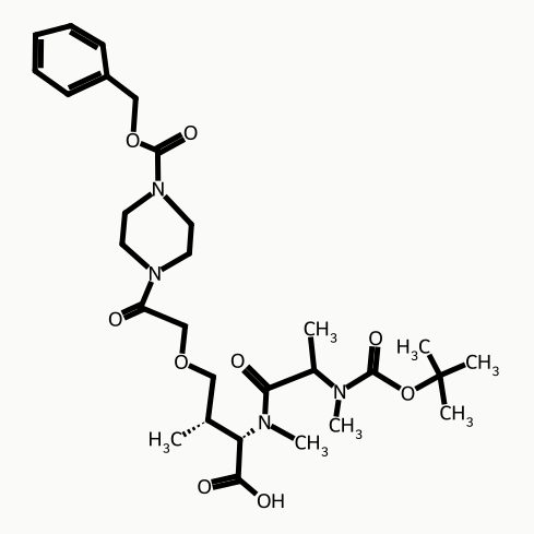 CC(C(=O)N(C)[C@H](C(=O)O)[C@H](C)COCC(=O)N1CCN(C(=O)OCc2ccccc2)CC1)N(C)C(=O)OC(C)(C)C